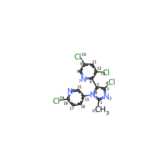 Cc1nc(Cl)c(-c2ncc(Cl)cc2Cl)n1-c1ccc(Cl)nc1